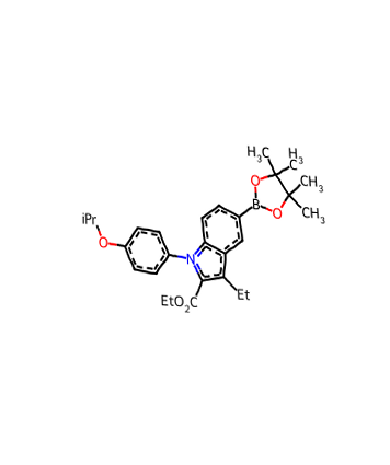 CCOC(=O)c1c(CC)c2cc(B3OC(C)(C)C(C)(C)O3)ccc2n1-c1ccc(OC(C)C)cc1